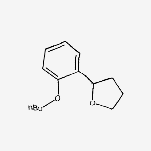 CCCCOc1ccccc1[C]1CCCO1